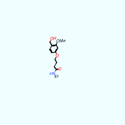 CCNC(=O)CCCOc1ccc(CO)c(OC)c1